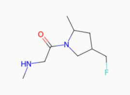 CNCC(=O)N1CC(CF)CC1C